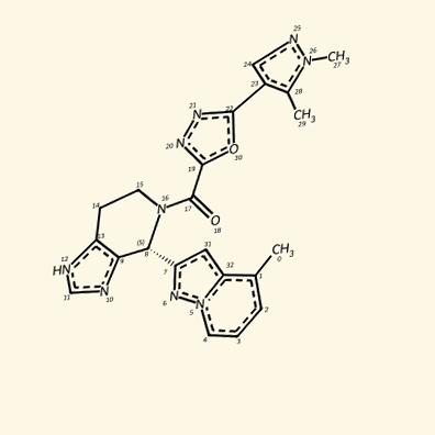 Cc1cccn2nc([C@@H]3c4nc[nH]c4CCN3C(=O)c3nnc(-c4cnn(C)c4C)o3)cc12